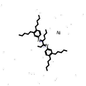 CCCCCc1ccc(/N=C(CC)/C(CCCC)=N/c2ccc(CCCCC)c(CCCCC)c2)cc1CCCCC.[Ni]